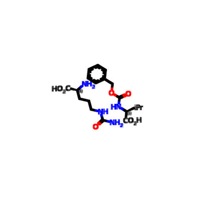 CC(C)[C@H](NC(=O)OCc1ccccc1)C(=O)O.NC(=O)NCCC[C@H](N)C(=O)O